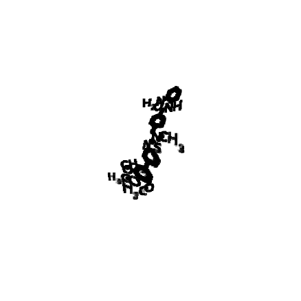 COc1cc(-c2ccc3sc(N(C)Cc4ccc(C(=O)Nc5ccccc5N)cc4)nc3c2)cc(OC)c1OC